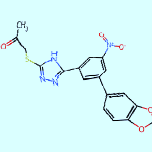 CC(=O)CSc1nnc(-c2cc(-c3ccc4c(c3)OCO4)cc([N+](=O)[O-])c2)[nH]1